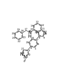 Cn1cc(-c2ccc(-c3cnc4cccc(NCc5ccccc5)n34)cc2)cn1